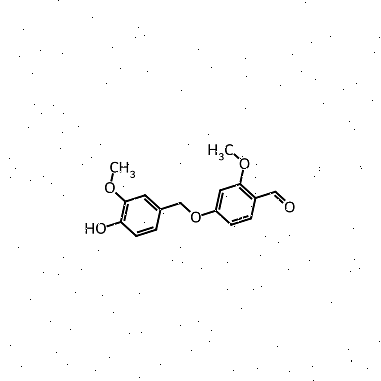 COc1cc(COc2ccc(C=O)c(OC)c2)ccc1O